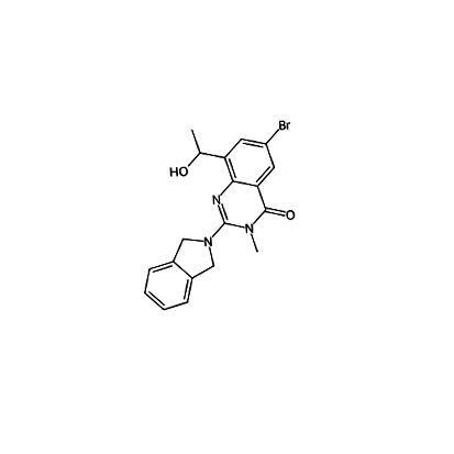 CC(O)c1cc(Br)cc2c(=O)n(C)c(N3Cc4ccccc4C3)nc12